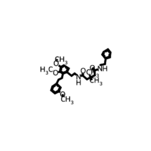 COc1cccc(CCc2c(CCNC(=O)CC(C)(C)CC(=O)NCCc3ccccc3)ccc(OC)c2OC)c1